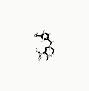 CCN(C=C(NC)[N+](=O)[O-])Cc1cnc(Cl)s1